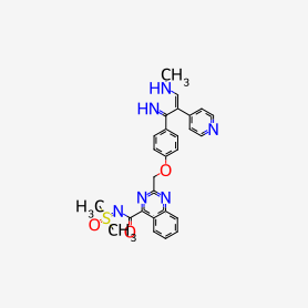 CN/C=C(\C(=N)c1ccc(OCc2nc(C(=O)N=S(C)(C)=O)c3ccccc3n2)cc1)c1ccncc1